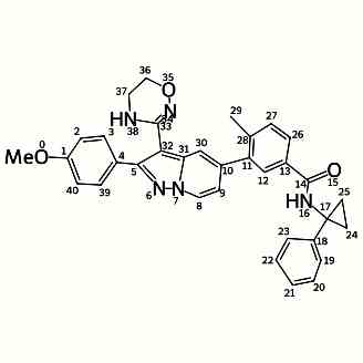 COc1ccc(-c2nn3ccc(-c4cc(C(=O)NC5(c6ccccc6)CC5)ccc4C)cc3c2C2=NOCCN2)cc1